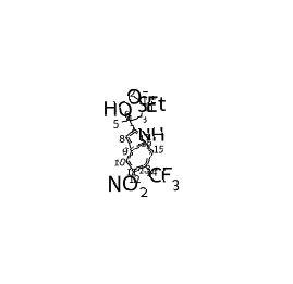 CC[S+]([O-])CC(C)(O)c1cc2cc([N+](=O)[O-])c(C(F)(F)F)cc2[nH]1